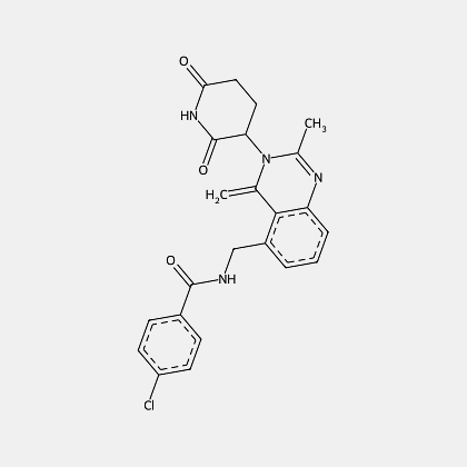 C=C1c2c(CNC(=O)c3ccc(Cl)cc3)cccc2N=C(C)N1C1CCC(=O)NC1=O